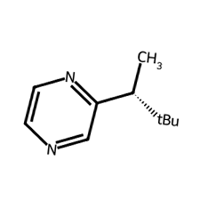 C[C@@H](c1cnccn1)C(C)(C)C